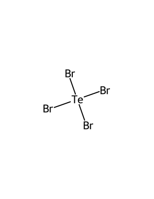 Br[Te](Br)(Br)Br